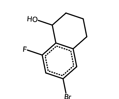 OC1CCCc2cc(Br)cc(F)c21